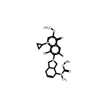 CN(C(=O)OC(C)(C)C)C1C=CCC2CN(c3c(F)cc4c(=O)c(OC(=O)O)cn(C5CC5)c4c3Cl)CC21